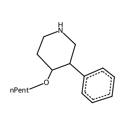 CCCCCOC1CCNCC1c1ccccc1